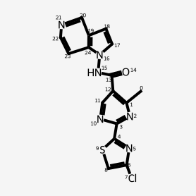 Cc1nc(-c2nc(Cl)cs2)ncc1C(=O)Nn1ccc2cnccc21